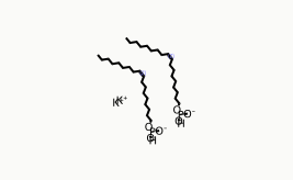 CCCCCCCC/C=C\CCCCCCCCO[PH](=O)[O-].CCCCCCCC/C=C\CCCCCCCCO[PH](=O)[O-].[K+].[K+]